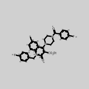 CCOC(=O)c1c(N2CCN(C(=O)c3ccc(F)cc3)CC2)c2cc(C)ccc2n(Cc2ccc(F)cc2)c1=O